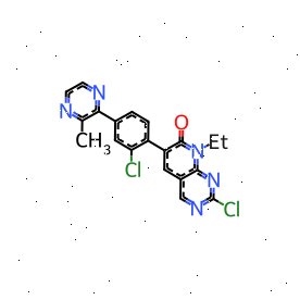 CCn1c(=O)c(-c2ccc(-c3nccnc3C)cc2Cl)cc2cnc(Cl)nc21